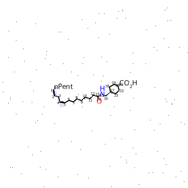 CCCCC/C=C\C/C=C\CCCCCCCC(=O)NC[C@H]1CC[C@H](C(=O)O)CC1